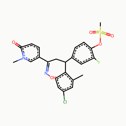 Cc1cc(Cl)ccc1C(C/C(=N\O)c1ccc(=O)n(C)c1)c1ccc(OS(C)(=O)=O)c(F)c1